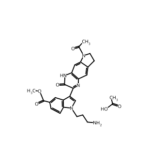 CC(=O)O.COC(=O)c1ccc2c(c1)c(-c1nc3cc4c(cc3[nH]c1=O)N(C(C)=O)CC4)cn2CCCN